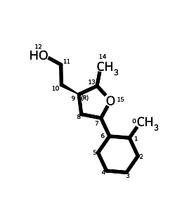 CC1CCCCC1C1C[C@@H](CCO)C(C)O1